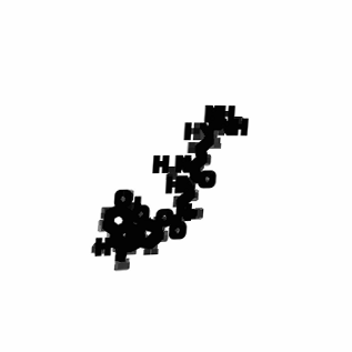 CN(CCNC(=O)[C@@H](N)CCCNC(=N)N)C(=O)Oc1ccc2c3c1O[C@H]1C(=O)CCC4[C@@H](C2)N(C)CC[C@@]341